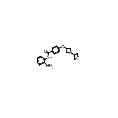 Nc1ccccc1NC(=O)c1ccc(OC2CN(C3COC3)C2)cc1